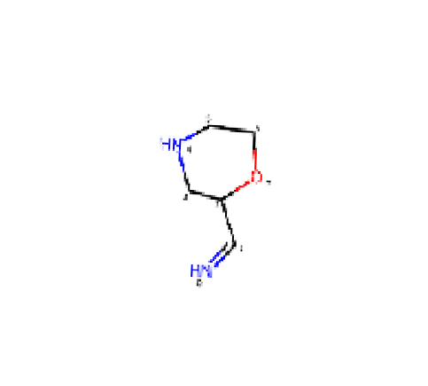 N=CC1CNCCO1